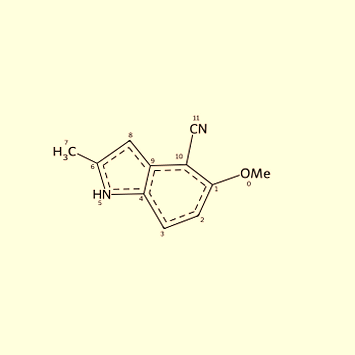 COc1ccc2[nH]c(C)cc2c1C#N